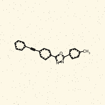 Cc1ccc(-c2nnc(-c3ccc(C#Cc4ccccc4)cc3)o2)cc1